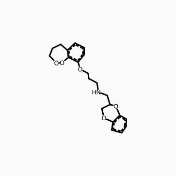 c1ccc2c(c1)OCC(CNCCCOc1cccc3c1OOCCC3)O2